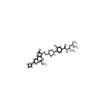 C[C@H](CN(C)C)NC(=O)c1ccc(N2CCN(CCn3c(=O)sc4c3nc(N)n3nc(-c5ccco5)cc43)CC2)c(F)c1